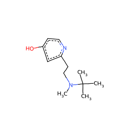 CN(CCc1cc(O)ccn1)C(C)(C)C